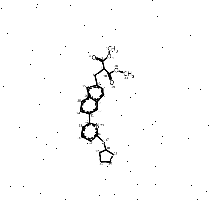 COC(=O)C(Cc1ccc2cc(-c3cccc(SC4CCCC4)n3)ccc2c1)C(=O)OC